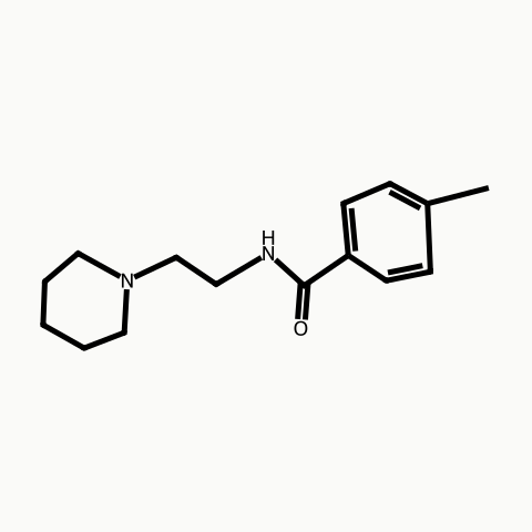 Cc1ccc(C(=O)NCCN2CCCCC2)cc1